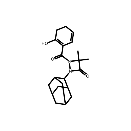 CC1(C)C(=O)N(C2C3CC4CC(C3)CC2C4)N1C(=O)C1=C(O)CCC=C1